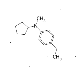 CCc1ccc(N(C)C2CCCC2)cc1